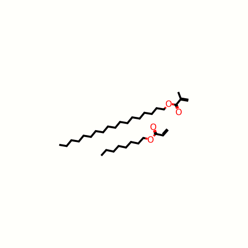 C=C(C)C(=O)OCCCCCCCCCCCCCCCCCC.C=CC(=O)OCCCCCCCC